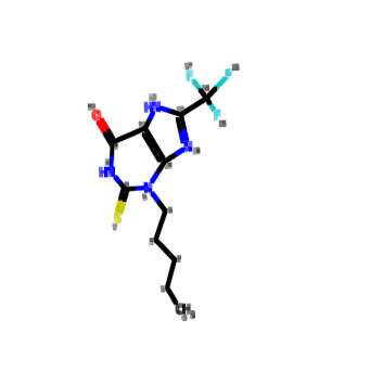 CCCCCn1c(=S)[nH]c(=O)c2[nH]c(C(F)(F)F)nc21